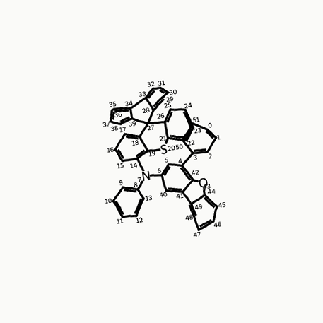 c1ccc(-c2cc(N(c3ccccc3)c3cccc4c3Sc3ccccc3C43c4ccccc4-c4ccccc43)cc3c2oc2ccccc23)cc1